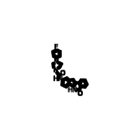 O=C(CN1CCN(c2ccc(F)cc2)CC1)Nc1ccc2c(c1)Cc1c-2[nH]c(=O)c2ccccc12